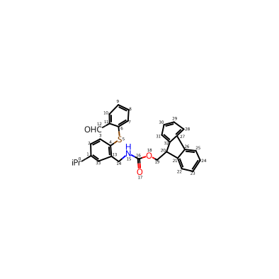 CC(C)c1ccc(Sc2ccccc2C=O)c(CNC(=O)OCC2c3ccccc3-c3ccccc32)c1